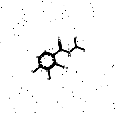 Cc1ccc(C(=O)NC(C)C)c(F)c1C